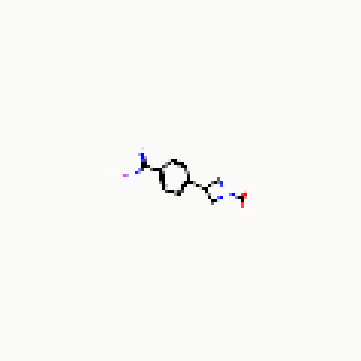 N=C(NO)c1ccc(C2CN(C(=O)O)C2)cc1